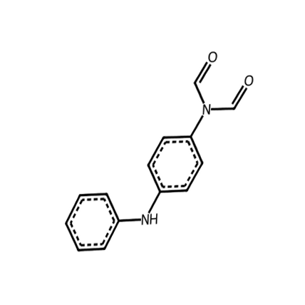 O=CN(C=O)c1ccc(Nc2ccccc2)cc1